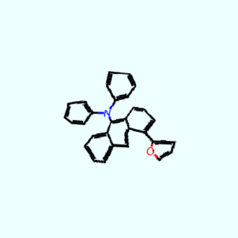 c1ccc(N(c2ccccc2)c2c3ccccc3cc3c(-c4ccco4)cccc23)cc1